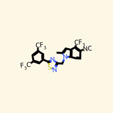 [C-]#[N+]c1ccc2c(cc(C)n2Cc2nsc(-c3cc(C(F)(F)F)cc(C(F)(F)F)c3)n2)c1C(F)(F)F